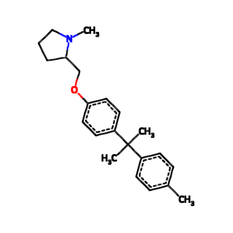 Cc1ccc(C(C)(C)c2ccc(OCC3CCCN3C)cc2)cc1